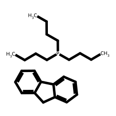 CCCCP(CCCC)CCCC.c1ccc2c(c1)Cc1ccccc1-2